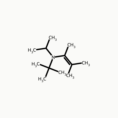 CC(C)=C(C)N(C(C)C)C(C)(C)C